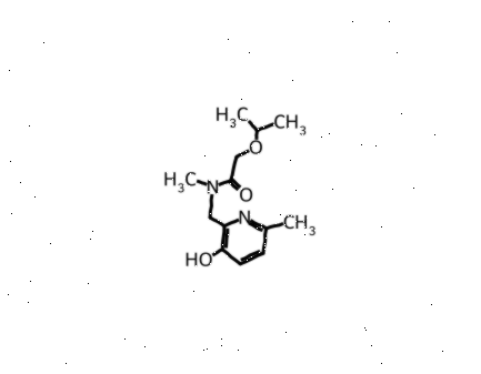 Cc1ccc(O)c(CN(C)C(=O)COC(C)C)n1